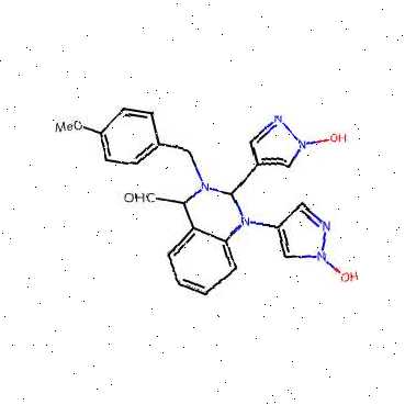 COc1ccc(CN2C(C=O)c3ccccc3N(c3cnn(O)c3)C2c2cnn(O)c2)cc1